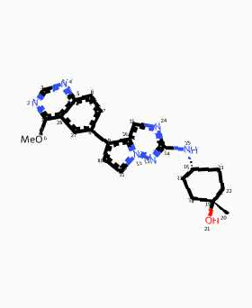 COc1ncnc2ccc(-c3ccn4nc(N[C@H]5CC[C@@](C)(O)CC5)ncc34)cc12